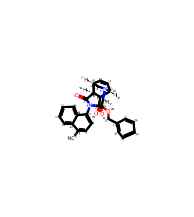 N#Cc1ccc(N2C(=O)[C@@H]3[C@H](C2=O)[C@@H]2C=C[C@H]3CN2C(=O)OCc2ccccc2)c2ccccc12